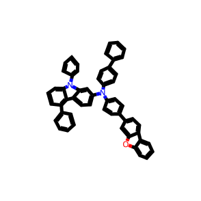 c1ccc(-c2ccc(N(c3ccc(-c4ccc5c(c4)oc4ccccc45)cc3)c3ccc4c5c(-c6ccccc6)cccc5n(-c5ccccc5)c4c3)cc2)cc1